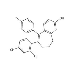 Cc1ccc(C2=C(c3ccc(Cl)cc3Cl)CCCc3cc(O)ccc32)cc1